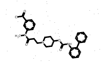 CN(C(=O)CCN1CCC(OC(=O)Nc2ccccc2-c2ccccc2)CC1)c1cccc(C(=O)Cl)c1